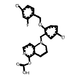 O=C(O)Oc1nccc2c1CCCN2Cc1cc(Cl)ccc1OCc1ccc(Cl)cc1F